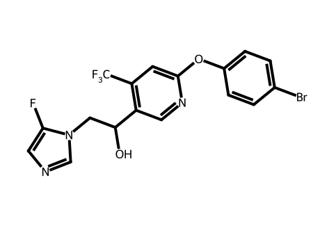 OC(Cn1cncc1F)c1cnc(Oc2ccc(Br)cc2)cc1C(F)(F)F